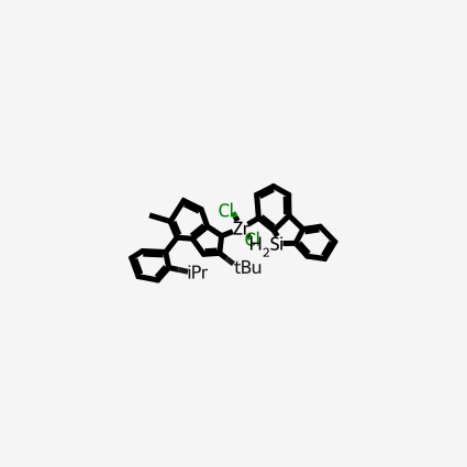 Cc1ccc2c(c1-c1ccccc1C(C)C)C=C(C(C)(C)C)[CH]2[Zr]([Cl])([Cl])[c]1cccc2c1[SiH2]c1ccccc1-2